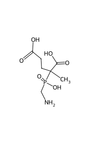 CC(CCC(=O)O)(C(=O)O)P(=O)(O)CN